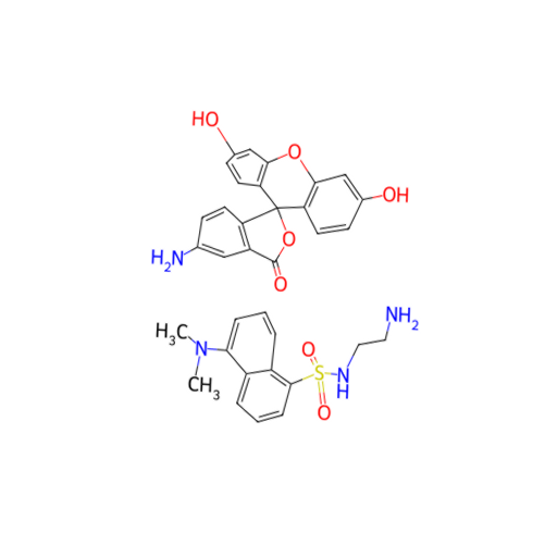 CN(C)c1cccc2c(S(=O)(=O)NCCN)cccc12.Nc1ccc2c(c1)C(=O)OC21c2ccc(O)cc2Oc2cc(O)ccc21